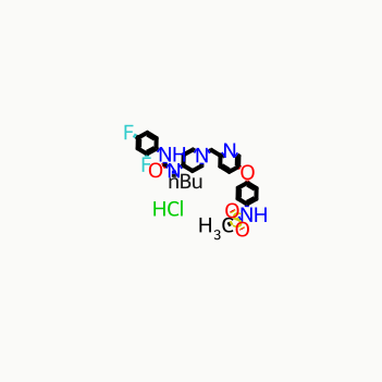 CCCCN(C(=O)Nc1ccc(F)cc1F)C1CCN(Cc2ccc(Oc3ccc(NS(C)(=O)=O)cc3)cn2)CC1.Cl